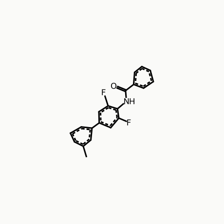 Cc1cccc(-c2cc(F)c(NC(=O)c3ccccc3)c(F)c2)c1